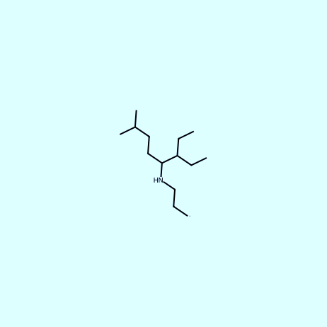 [CH2]CCNC(CCC(C)C)C(CC)CC